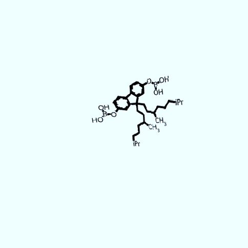 CC(C)CCCC(C)CCC1(CCC(C)CCCC(C)C)c2cc(OB(O)O)ccc2-c2ccc(OB(O)O)cc21